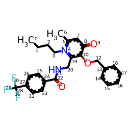 CCCCn1c(C)cc(=O)c(OCc2ccccc2)c1CNC(=O)c1ccc(C(F)(F)F)cc1